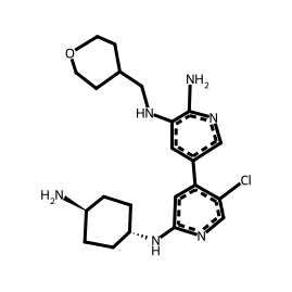 Nc1ncc(-c2cc(N[C@H]3CC[C@H](N)CC3)ncc2Cl)cc1NCC1CCOCC1